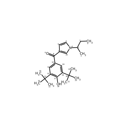 CCC(C)n1ccc(C(=O)c2cc(C(C)(C)C)c(O)c(C(C)(C)C)c2)c1